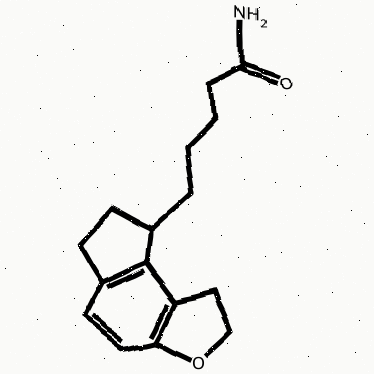 NC(=O)CCCCC1CCc2ccc3c(c21)CCO3